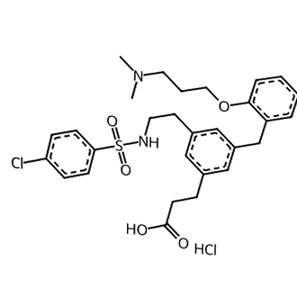 CN(C)CCCOc1ccccc1Cc1cc(CCNS(=O)(=O)c2ccc(Cl)cc2)cc(CCC(=O)O)c1.Cl